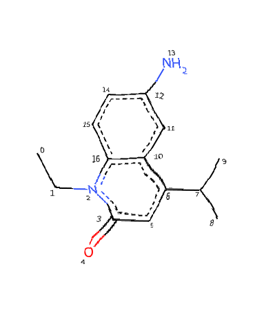 CCn1c(=O)cc(C(C)C)c2cc(N)ccc21